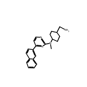 CN(c1nccc(-c2ccc3ccccc3c2)n1)C1CCC(CN)CC1